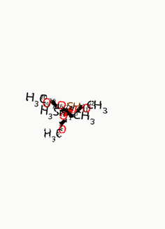 CCC(OCCOC)(OCCOC)C([SiH3])(S)OCCOC